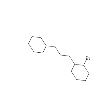 CCC1CCCC[C]1CCCC1CCCCC1